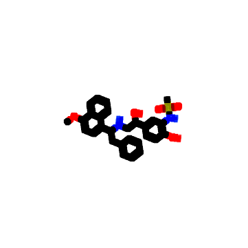 COc1ccc(C(Cc2ccccc2)NCC(O)c2ccc(O)c(NS(C)(=O)=O)c2)c2ccccc12